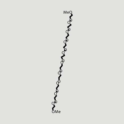 COCCOOCCOOCCOOCCOOCCOOCCOOCCOOCCOOCCOOCCOC